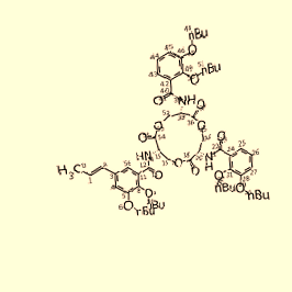 C/C=C/c1cc(OCCCC)c(OCCCC)c(C(=O)N[C@H]2COC(=O)[C@@H](NC(=O)c3cccc(OCCCC)c3OCCCC)COC(=O)[C@@H](NC(=O)c3cccc(OCCCC)c3OCCCC)COC2=O)c1